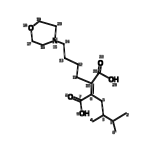 CC(C)C(C)CC(C(=O)O)=C(CCCCN1CCOCC1)C(=O)O